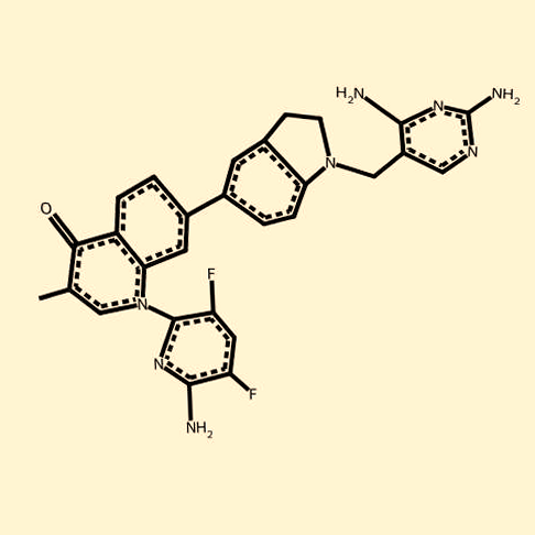 Cc1cn(-c2nc(N)c(F)cc2F)c2cc(-c3ccc4c(c3)CCN4Cc3cnc(N)nc3N)ccc2c1=O